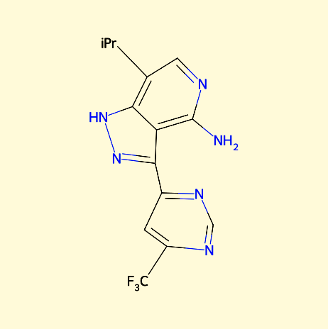 CC(C)c1cnc(N)c2c(-c3cc(C(F)(F)F)ncn3)n[nH]c12